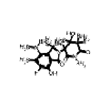 Bc1c(F)c(O)c2c(c1N(B)B)C(B)(B)N(C1(O)C(=O)N(B)C(=O)C(B)(B)C1(B)O)C2=O